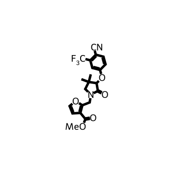 COC(=O)c1ccoc1CN1CC(C)(C)C(Oc2ccc(C#N)c(C(F)(F)F)c2)C1=O